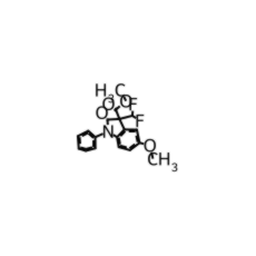 COC(=O)C1(C(F)F)C(=O)N(c2ccccc2)c2ccc(OC)cc21